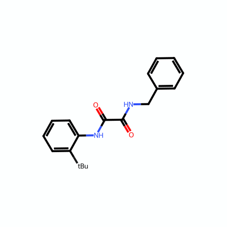 CC(C)(C)c1ccccc1NC(=O)C(=O)NCc1ccccc1